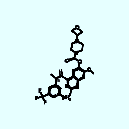 COc1cc2nc(C)nc(N[C@H](C)c3cc(N)cc(C(F)(F)F)c3)c2cc1OC(=O)N1CCN(C2COC2)CC1